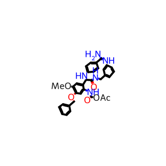 COc1cc(C(Nc2ccc(C(=N)N)cc2)C(=O)NCc2ccccc2)c(NC(=O)OC(C)=O)cc1OCc1ccccc1